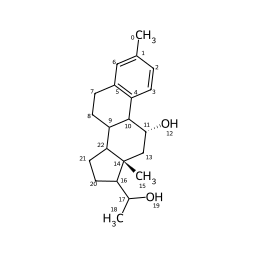 Cc1ccc2c(c1)CCC1C2[C@H](O)C[C@]2(C)C(C(C)O)CCC12